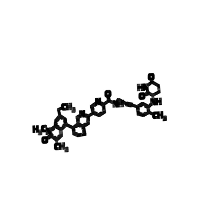 CCc1cc(-c2cccc3cc(-c4ccc(C(=O)NCC#Cc5ccc(C)c(NC6CCC(=O)NC6=O)c5)nc4)ncc23)c2cc(C)c(=O)n(C)c2c1